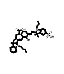 CCCC[N+]1=C(/C=C/C2=C(Br)C(=C/C=C3/N(CCC)c4ccc(S(=O)(=O)O)cc4C3(C)C)/CCC2)C(C)(CCCCC(=O)O)c2ccccc21